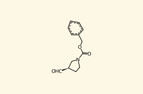 O=C[C@@H]1CCN(C(=O)OCc2ccccc2)C1